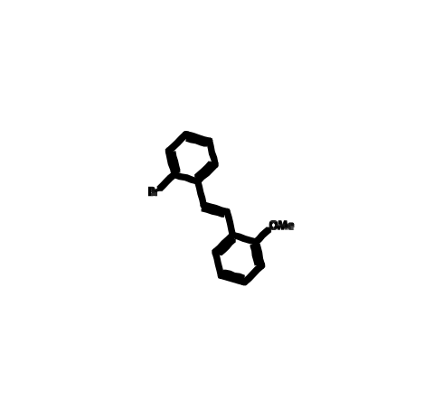 COc1ccccc1C=Cc1ccccc1Br